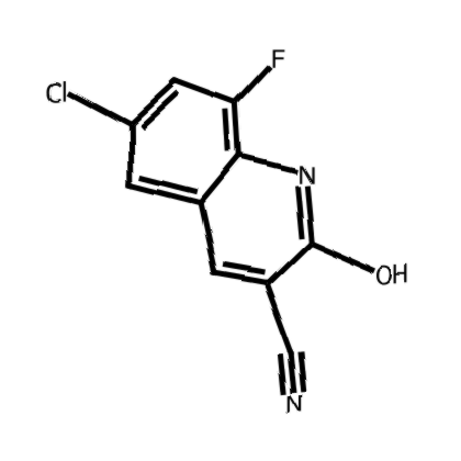 N#Cc1cc2cc(Cl)cc(F)c2nc1O